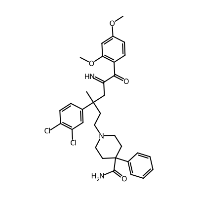 COc1ccc(C(=O)C(=N)CC(C)(CCN2CCC(C(N)=O)(c3ccccc3)CC2)c2ccc(Cl)c(Cl)c2)c(OC)c1